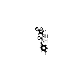 O=C(NCc1ccc(F)cc1)NC1=CC(=O)OC1